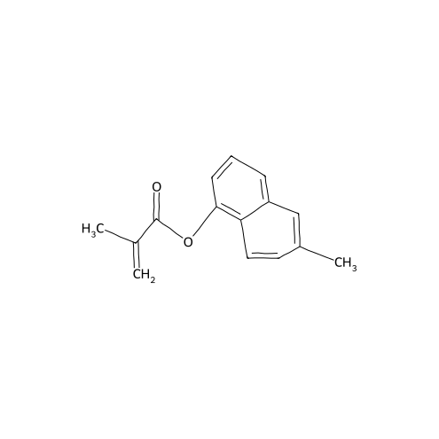 C=C(C)C(=O)Oc1cccc2cc(C)ccc12